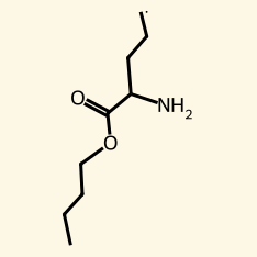 [CH2]CCC(N)C(=O)OCCCC